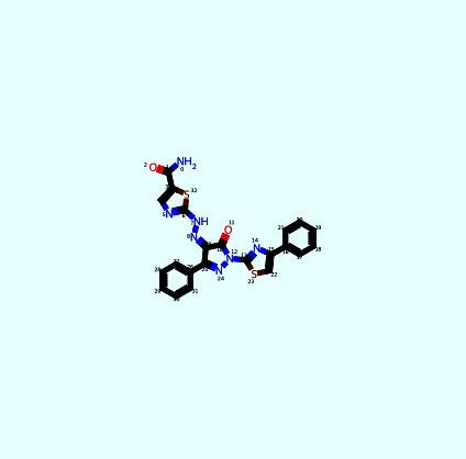 NC(=O)c1cnc(NN=C2C(=O)N(c3nc(-c4ccccc4)cs3)N=C2c2ccccc2)s1